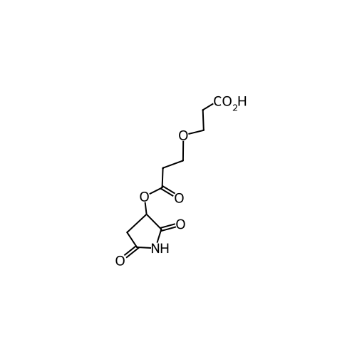 O=C(O)CCOCCC(=O)OC1CC(=O)NC1=O